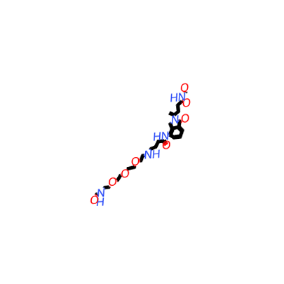 CC(CCC(=O)NC=O)N1Cc2c(NC(=O)CCCNCCOCCOCCOCCNC=O)cccc2C1=O